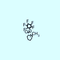 CN1CCCC[C@@H]1C(=O)Oc1c(F)c(F)c(F)c(F)c1F